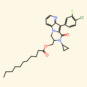 CCCCCCCCCCC(=O)OCC1Cn2c(c(-c3ccc(Cl)c(F)c3)c3ncccc32)C(=O)N1C1CC1